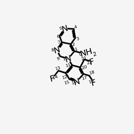 NC1=c2ccncc2=NCN1c1c(CF)cnc(CF)c1CF